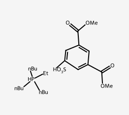 CCCC[PH](CC)(CCCC)CCCC.COC(=O)c1cc(C(=O)OC)cc(S(=O)(=O)O)c1